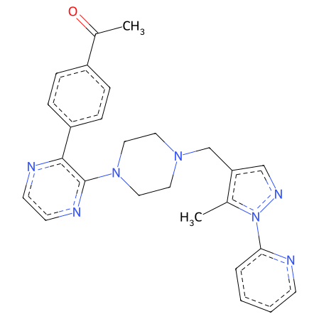 CC(=O)c1ccc(-c2nccnc2N2CCN(Cc3cnn(-c4ccccn4)c3C)CC2)cc1